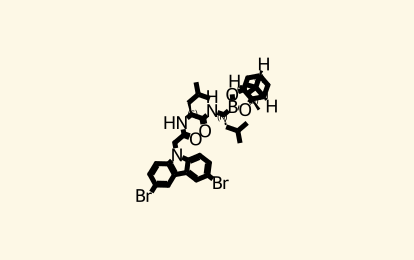 CC(C)C[C@H](NC(=O)[C@H](CC(C)C)NC(=O)Cn1c2ccc(Br)cc2c2cc(Br)ccc21)B1O[C@@H]2C[C@@H]3C[C@@H](C3(C)C)[C@]2(C)O1